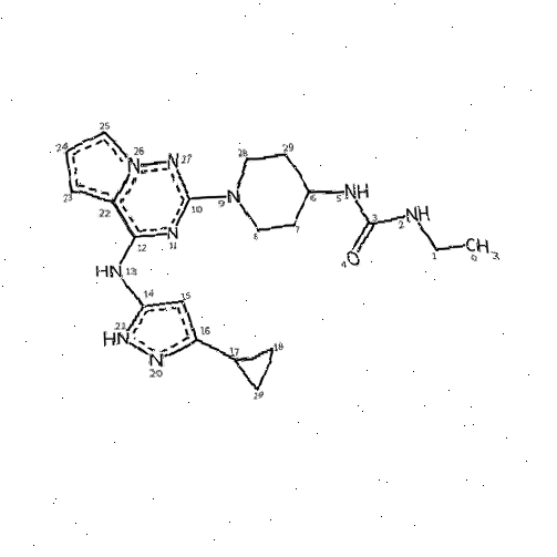 CCNC(=O)NC1CCN(c2nc(Nc3cc(C4CC4)n[nH]3)c3cccn3n2)CC1